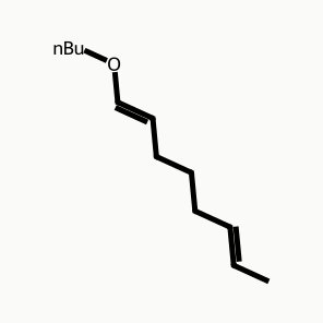 CC=CCCCC=COCCCC